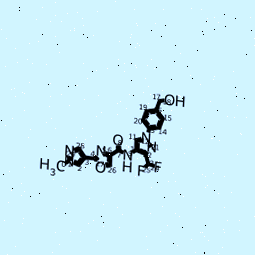 Cn1cc(-c2nc(C(=O)Nc3cn(-c4ccc(CO)cc4)nc3C(F)F)co2)cn1